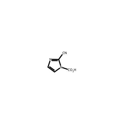 N#Cc1nccn1C(=O)O